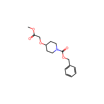 COC(=O)COC1CCN(C(=O)OCc2ccccc2)CC1